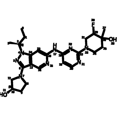 CC[C@H](C)n1nc(N2CC[C@@H](O)C2)c2cnc(Nc3ccnc(N4CCC(C)(O)C(F)C4)n3)cc21